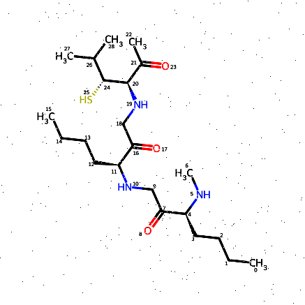 CCCC[C@H](NC)C(=O)CN[C@@H](CCCC)C(=O)CN[C@H](C(C)=O)[C@H](S)C(C)C